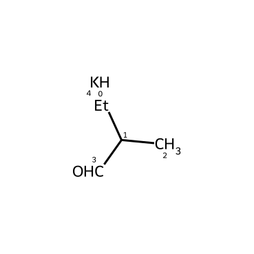 CCC(C)C=O.[KH]